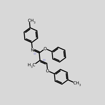 CC(=C\Oc1ccc(C)cc1)/C(=N/c1ccc(C)cc1)Oc1ccccc1